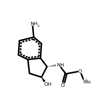 CC(C)(C)OC(=O)N[C@H]1c2cc(N)ccc2C[C@@H]1O